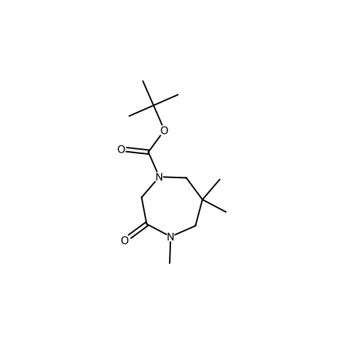 CN1CC(C)(C)CN(C(=O)OC(C)(C)C)CC1=O